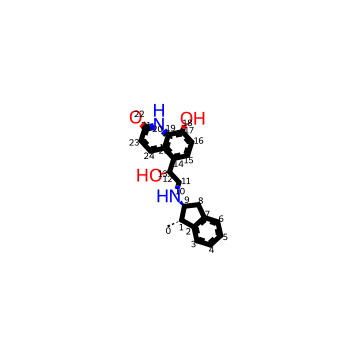 C[C@H]1c2ccccc2C[C@@H]1NC[C@H](O)c1ccc(O)c2[nH]c(=O)ccc12